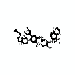 COc1cc(N2CC[C@H]3CCN(CC4CC4)[C@H]3C2)c(-c2cnn(C)c2)cc1Nc1ncc(Br)c(Nc2ccc3nccnc3c2P(C)(C)=O)n1